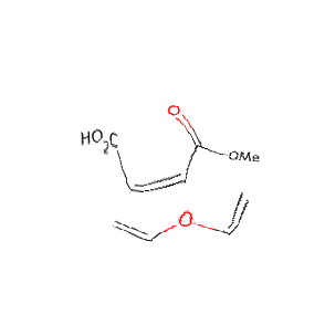 C=COC=C.COC(=O)/C=C\C(=O)O